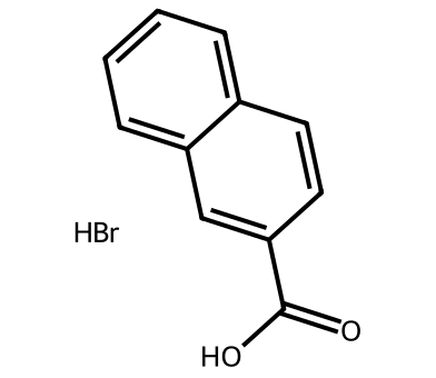 Br.O=C(O)c1ccc2ccccc2c1